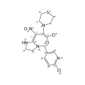 O=[N+]([O-])/C(C(=C(Cl)Cl)N1CCSCC1)=C1\NCCN1Cc1ccc(Cl)nc1